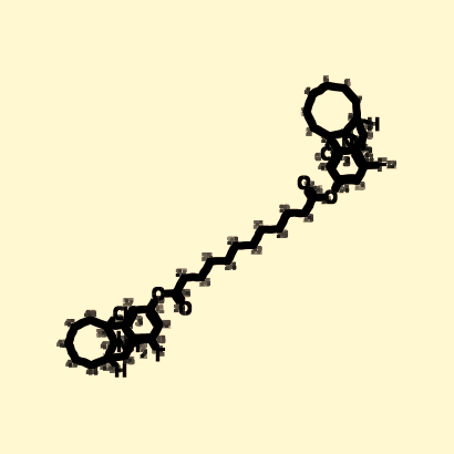 C[C@@]12CCCCCC[C@@H](Cc3c(F)cc(OC(=O)CCCCCCCCCCC(=O)Oc4cc(F)c5c(c4)[C@@]4(C)CCCCC[C@@H](C5)[C@@H]4N)cc31)[C@@H]2N